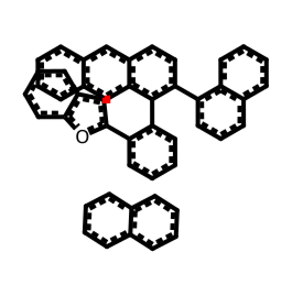 c1ccc(-c2c(-c3cccc4ccccc34)ccc3cc4ccccc4cc23)c(-c2cc3ccccc3o2)c1.c1ccc2ccccc2c1